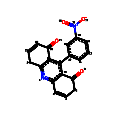 O=C1CC=Cc2nc3c(c(-c4cccc([N+](=O)[O-])c4)c21)C(=O)C=CC3